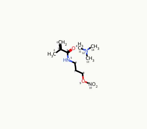 C=C(C)C(=O)NCCCO[N+](=O)[O-].CN(C)C